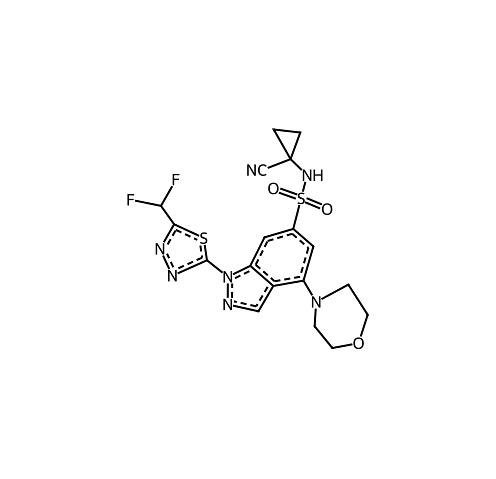 N#CC1(NS(=O)(=O)c2cc(N3CCOCC3)c3cnn(-c4nnc(C(F)F)s4)c3c2)CC1